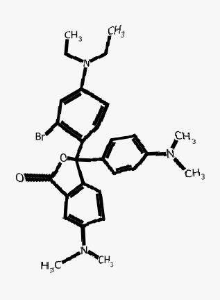 CCN(CC)c1ccc(C2(c3ccc(N(C)C)cc3)OC(=O)c3cc(N(C)C)ccc32)c(Br)c1